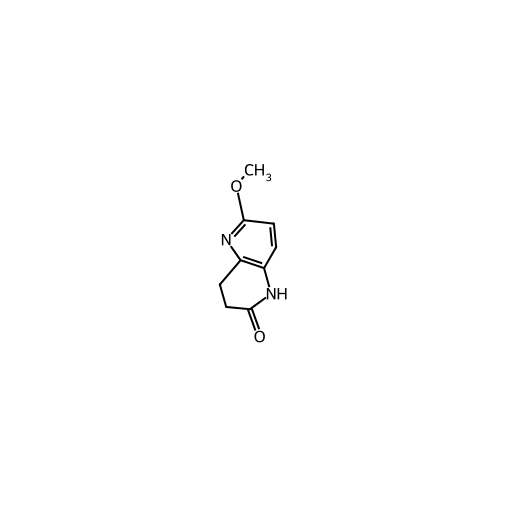 COc1ccc2c(n1)CCC(=O)N2